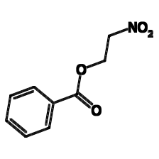 O=C(OCC[N+](=O)[O-])c1ccccc1